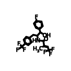 C/C(=C\C(F)(F)F)C(=O)NC(Cc1ccc(C(F)(F)F)cc1)C(O)c1ccc(F)cc1